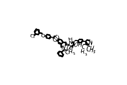 CC[C@@H](c1ccccc1)N1Cc2cc3c(cc2C[C@H]1C(=O)N[C@@H](Cc1ccc(-c2ccnc(C)c2C)cc1)C(=O)O)OC[C@H](c1ccc(OCc2cccc(Cl)c2)cc1)O3